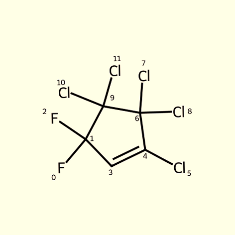 FC1(F)C=C(Cl)C(Cl)(Cl)C1(Cl)Cl